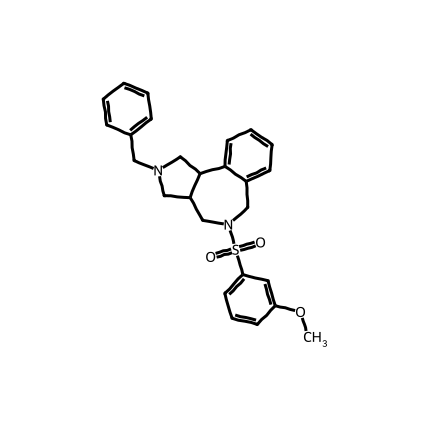 COc1cccc(S(=O)(=O)N2Cc3ccccc3C3CN(Cc4ccccc4)CC3C2)c1